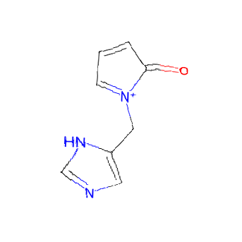 O=C1C=CC=[N+]1Cc1cnc[nH]1